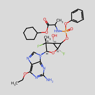 CCOc1nc(N)nc2c1ncn2[C@@H]1O[C@]2(F)C(OP(=O)(NC(C)C(=O)OC3CCCCC3)Oc3ccccc3)[C@]2(O)[C@@]1(C)F